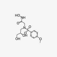 COc1ccc(S(=O)(=O)N(CC(=O)NO)C[C@@H](O)CO)cc1